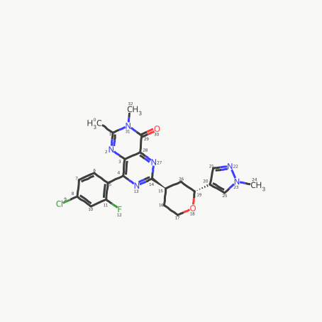 Cc1nc2c(-c3ccc(Cl)cc3F)nc([C@@H]3CCO[C@@H](c4cnn(C)c4)C3)nc2c(=O)n1C